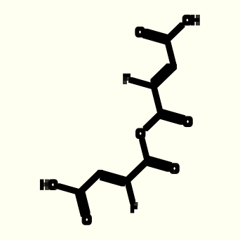 O=C(O)/C=C(\F)C(=O)OC(=O)/C(F)=C/C(=O)O